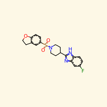 O=S(=O)(c1ccc2c(c1)CCO2)N1CCC(c2nc3cc(F)ccc3[nH]2)CC1